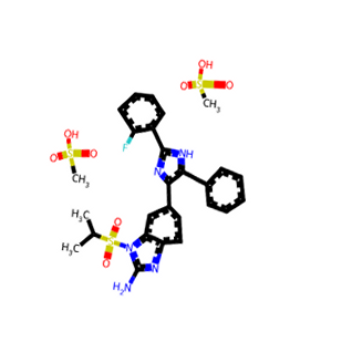 CC(C)S(=O)(=O)n1c(N)nc2ccc(-c3nc(-c4ccccc4F)[nH]c3-c3ccccc3)cc21.CS(=O)(=O)O.CS(=O)(=O)O